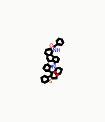 c1ccc(C2Nc3c(ccc4ccc5c(N(c6ccccc6)c6ccccc6-c6cccc7sc8ccccc8c67)cccc5c34)O2)cc1